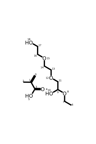 C=C(C)C(=O)O.CCOC(O)COCCOCCO